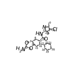 Cc1nc(NC(=O)c2ccc(OC(N)=O)cc2-c2ccccc2)sc1Cl